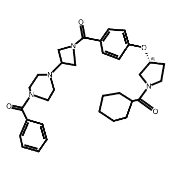 O=C(c1ccccc1)N1CCN(C2CN(C(=O)c3ccc(O[C@@H]4CCN(C(=O)C5CCCCC5)C4)cc3)C2)CC1